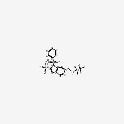 CC(C)(C)[Si](C)(C)OCc1ccc2cc(S(=O)(=O)Cl)n(S(=O)(=O)c3ccccc3)c2c1